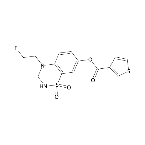 O=C(Oc1ccc2c(c1)S(=O)(=O)NCN2CCF)c1ccsc1